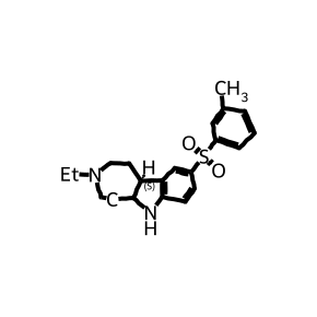 CCN1CCC2Nc3ccc(S(=O)(=O)c4cccc(C)c4)cc3[C@@H]2CC1